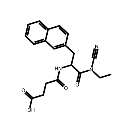 CCN(C#N)C(=O)C(Cc1ccc2ccccc2c1)NC(=O)CCC(=O)O